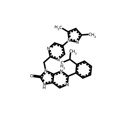 Cc1cc(C)n(-c2cnc(Cn3c(=O)[nH]c4cnc(-c5ccccc5C(C)C)nc43)nc2)n1